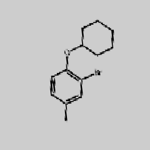 Cc1ccc(OC2CCCCC2)c(Br)c1